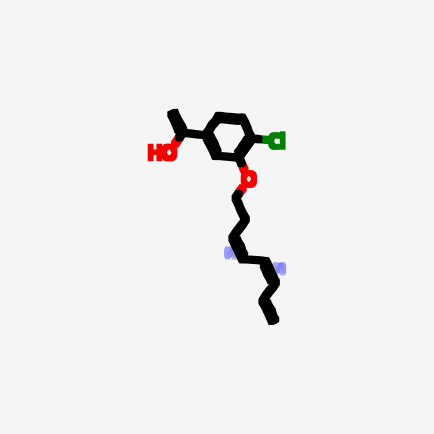 C=C/C=C\C=C/CCOc1cc(C(=C)O)ccc1Cl